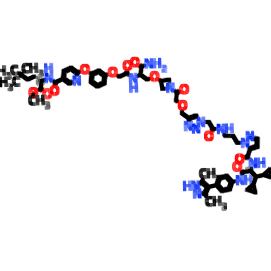 COC(=O)[C@H](CCC(C)(C)C)NC(=O)c1ccc(Oc2cccc(OCC(=O)NC(COC3CN(C(=O)COCc4cn(CC(=O)NCCCn5nccc5C(=O)N[C@H](C(=O)Nc5ccc(-c6c(C)n[nH]c6C)cc5)C(C5CC5)C5CC5)nn4)C3)C(N)=O)c2)nc1